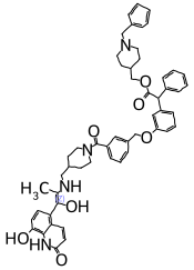 C/C(NCC1CCN(C(=O)c2cccc(COc3cccc(C(C(=O)OCC4CCN(Cc5ccccc5)CC4)c4ccccc4)c3)c2)CC1)=C(/O)c1ccc(O)c2[nH]c(=O)ccc12